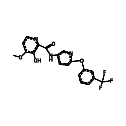 COc1ccnc(C(=O)Nc2ccc(Oc3cccc(C(F)(F)F)c3)nc2)c1O